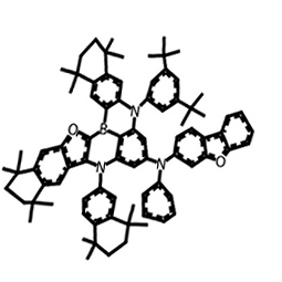 CC(C)(C)c1cc(N2c3cc4c(cc3B3c5oc6cc7c(cc6c5N(c5ccc6c(c5)C(C)(C)CCC6(C)C)c5cc(N(c6ccccc6)c6ccc8c(c6)oc6ccccc68)cc2c53)C(C)(C)CCC7(C)C)C(C)(C)CCC4(C)C)cc(C(C)(C)C)c1